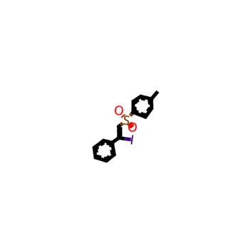 Cc1ccc(S(=O)(=O)C=C(I)c2ccccc2)cc1